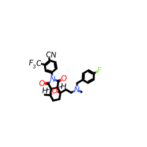 CN(CCC12CCC(C)(O1)[C@H]1C(=O)N(c3ccc(C#N)c(C(F)(F)F)c3)C(=O)[C@H]12)Cc1ccc(F)cc1